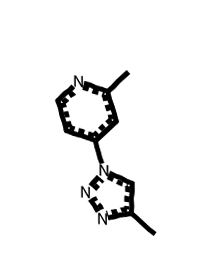 Cc1cc(-n2cc(C)nn2)ccn1